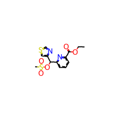 CCOC(=O)c1cccc(C(OS(C)(=O)=O)c2cscn2)n1